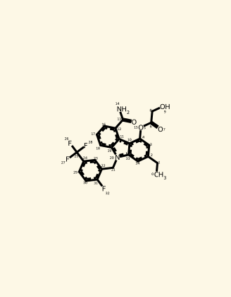 CCc1cc(OC(=O)CO)c2c3c(C(N)=O)cccc3n(Cc3cc(C(F)(F)F)ccc3F)c2c1